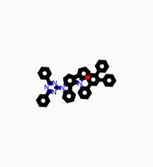 c1ccc(-c2nc(-c3ccccc3)nc(-n3c4ccccc4c4c3ccc3c5ccccc5n(-c5ccccc5-c5ccc(-c6ccccc6)c(-c6ccccc6)c5)c34)n2)cc1